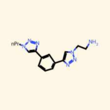 CCCn1cc(-c2cccc(-c3cn(CCN)nn3)c2)nn1